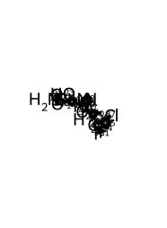 Cc1sc(C(=O)c2cncnc2N[C@@H]2C[C@H](COS(N)(=O)=O)[C@@H](O)C2)cc1[C@H]1OCC(F)(F)c2ccc(Cl)cc21